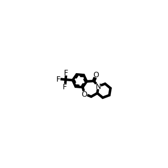 O=C1c2ccc(C(F)(F)F)cc2OCC2CCCCN12